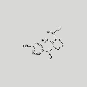 Nc1c(C(=O)O)cccc1C(=O)c1ccc(O)cc1